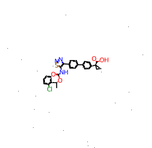 CC(OC(=O)Nc1snnc1-c1ccc(-c2ccc(C3(C(=O)O)CC3)cc2)cc1)c1ccccc1Cl